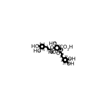 O=C(C=Cc1ccc(O)c(O)c1)OC1C(O)CC(OC(=O)C=Cc2ccc(O)c(O)c2)(C(=O)O)CC1O